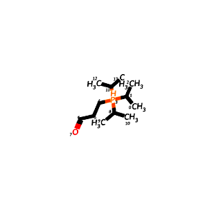 CC(C)[PH](CCC=O)(C(C)C)C(C)C